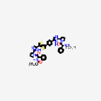 COC(=O)N[C@@H](C(=O)N1CCCC1c1ncc(-c2csc3c(-c4ccc(-c5cnc(C6CCCN6C(=O)[C@H](NC(=O)O)c6ccccc6)[nH]5)cc4)csc23)[nH]1)c1ccccc1